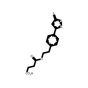 O=C(O)CCC(=O)OCCc1ccc(-c2cc(=S)ss2)cc1